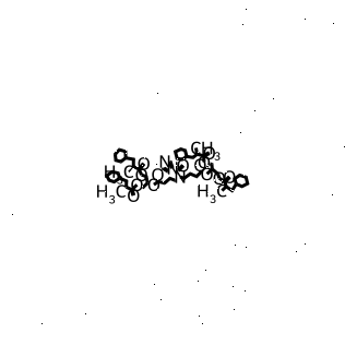 CC(CC1CCCCC1)C(=O)OCC(COC(=O)C(C)CC1CCCCC1)OC(=O)CCCN(CCCC(=O)OC(COC(=O)C(C)CC1CCCCC1)COC(=O)[C@@H](C)CC1CCCCC1)C(=O)n1ccnc1